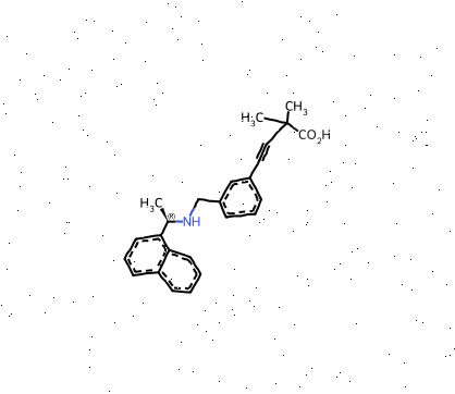 C[C@@H](NCc1cccc(C#CC(C)(C)C(=O)O)c1)c1cccc2ccccc12